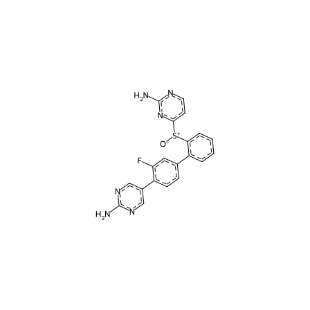 Nc1ncc(-c2ccc(-c3ccccc3[S+]([O-])c3ccnc(N)n3)cc2F)cn1